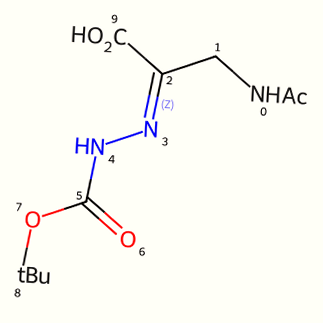 CC(=O)NC/C(=N/NC(=O)OC(C)(C)C)C(=O)O